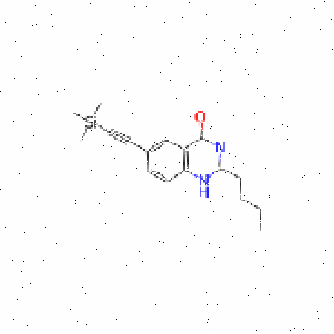 CCCCc1nc(=O)c2cc(C#C[Si](C)(C)C)ccc2[nH]1